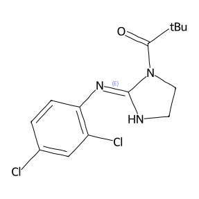 CC(C)(C)C(=O)N1CCN/C1=N\c1ccc(Cl)cc1Cl